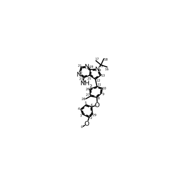 COc1cccc(Oc2ccc(-c3cn(C(C)(C)C)c4ncnc(N)c34)cc2C)c1